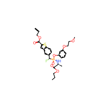 C=CCOC(=O)c1cc2cc([C@H](F)P(=O)(N[C@@H](C)C(=O)OCCC)Oc3cccc(OCCOC)c3)ccc2s1